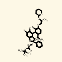 C[C@@H](COc1ccc(C(N)=O)c(-c2c(Cl)c(F)cc3c2[C@H](C)[C@@](CNC(=O)OC(C)(C)C)(c2ccccc2)O3)c1F)OC1CCCCO1